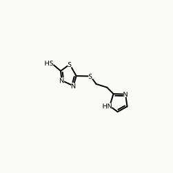 Sc1nnc(SCCc2ncc[nH]2)s1